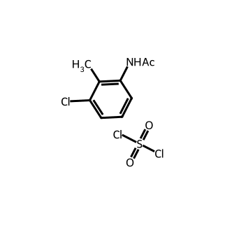 CC(=O)Nc1cccc(Cl)c1C.O=S(=O)(Cl)Cl